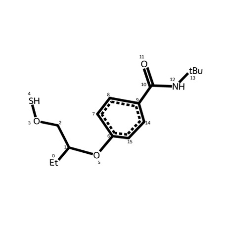 CCC(COS)Oc1ccc(C(=O)NC(C)(C)C)cc1